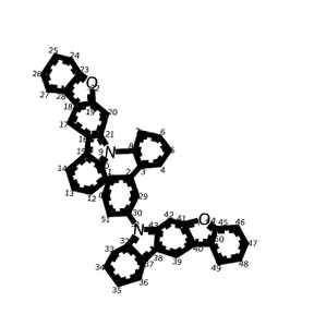 c1cc(-c2ccccc2-n2c3ccccc3c3cc4c(cc32)oc2ccccc24)cc(-n2c3ccccc3c3cc4c(cc32)oc2ccccc24)c1